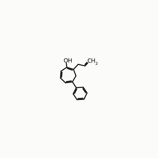 C=CCC1=C(O)C=CC=C(c2ccccc2)C1